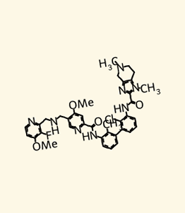 COc1cc(C(=O)Nc2cccc(-c3cccc(NC(=O)c4nc5c(n4C)CCN(C)C5)c3Cl)c2C)ncc1CNCc1nccc(OC)c1F